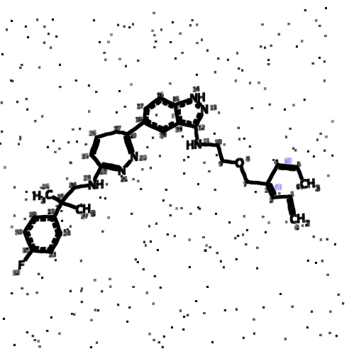 C=C/C=C(\C=C/C)COCCNc1n[nH]c2ccc(C3=NN=C(NCC(C)(C)c4ccc(F)cc4)C=CC3)cc12